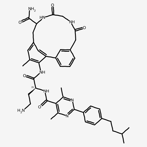 Cc1cc2cc(c1NC(=O)[C@H](CCN)NC(=O)c1c(C)nc(-c3ccc(CCC(C)C)cc3)nc1C)-c1cccc(c1)CC(=O)NCC(=O)NC(C(N)=O)C2